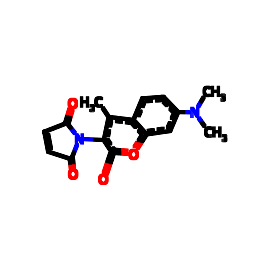 Cc1c(N2C(=O)C=CC2=O)c(=O)oc2cc(N(C)C)ccc12